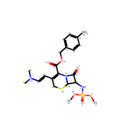 CCOP(=O)(NC1C(=O)N2C(C(=O)OCc3ccc([N+](=O)[O-])cc3)=C(/C=C/N(C)C)CSC12)OCC